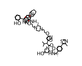 Cc1ncsc1-c1ccc([C@H](C)NC(=O)[C@@H]2C[C@@H](O)CN2C(=O)C(c2cc(OCCN3CCN(CCOc4cc(N5C6CCC5CN(c5cc(-c7ccccc7O)nnc5N)C6)ccn4)CC3)no2)C(C)C)cc1